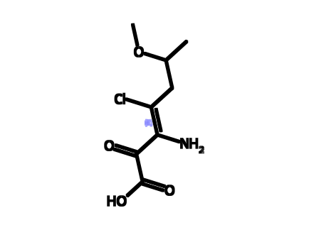 COC(C)C/C(Cl)=C(\N)C(=O)C(=O)O